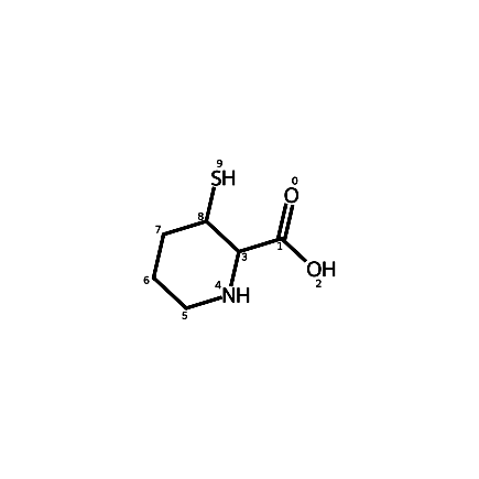 O=C(O)C1NCCCC1S